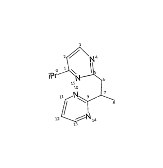 CC(C)c1ccnc(CC(C)c2ncccn2)n1